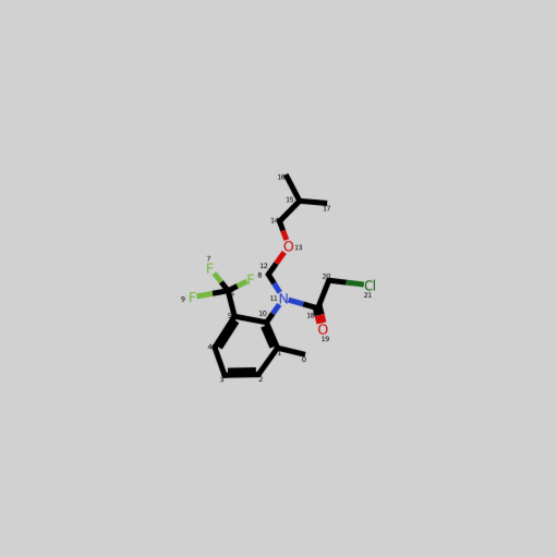 Cc1cccc(C(F)(F)F)c1N(COCC(C)C)C(=O)CCl